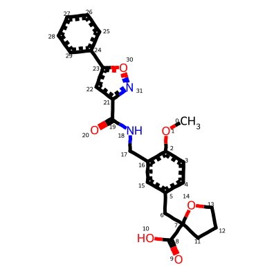 COc1ccc(CC2(C(=O)O)CCCO2)cc1CNC(=O)c1cc(-c2ccccc2)on1